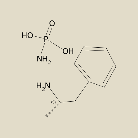 C[C@H](N)Cc1ccccc1.NP(=O)(O)O